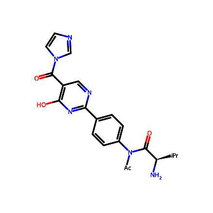 CC(=O)N(C(=O)[C@H](N)C(C)C)c1ccc(-c2ncc(C(=O)n3ccnc3)c(O)n2)cc1